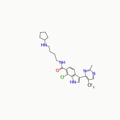 Cc1ncc(C(F)(F)F)c(-c2c[nH]c3c(Cl)c(C(=O)NCCCCNC4CCCC4)ccc23)n1